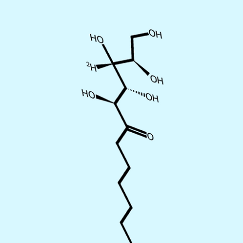 [2H][C@@](O)([C@H](O)CO)[C@H](O)[C@H](O)C(=O)CCCCCC